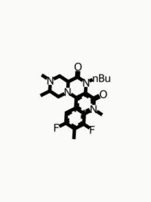 CCCCN1C(=O)C2CN(C)C(C)CN2c2c1c(=O)n(C)c1c(F)c(C)c(F)cc21